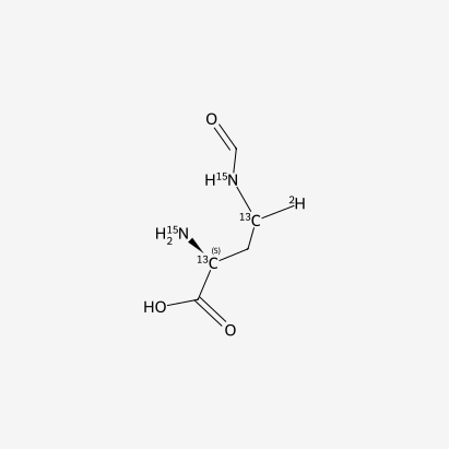 [2H][13CH](C[13C@H]([15NH2])C(=O)O)[15NH]C=O